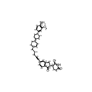 COc1cc(N2CCC(N3CCN(CCCC#Cc4ccc5c(c4)CN(C4CCC(=O)NC4=O)C5=O)CC3)CC2)ccc1N